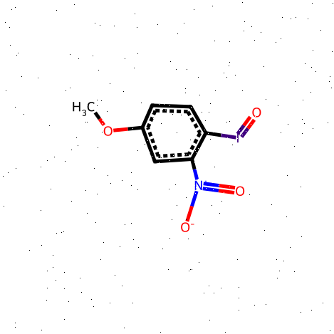 COc1ccc(I=O)c([N+](=O)[O-])c1